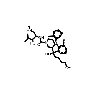 CNCC(NC(=O)N1CCCC(C(O)(CCCCOC)c2cccc(F)c2Oc2ccccc2C)C1)C(O)C(C)C